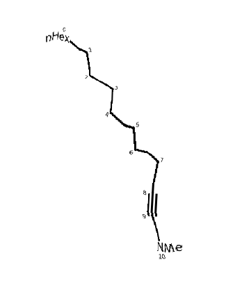 CCCCCCCCCCCCCC#CNC